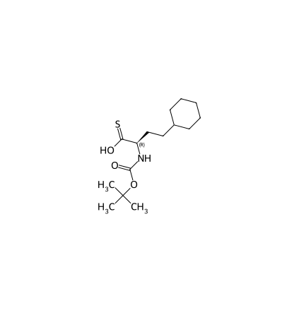 CC(C)(C)OC(=O)N[C@H](CCC1CCCCC1)C(O)=S